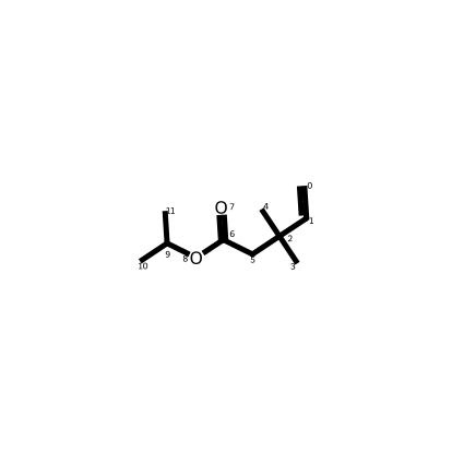 C=CC(C)(C)CC(=O)OC(C)C